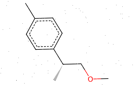 COC[C@H](C)c1ccc(C)cc1